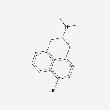 CN(C)C1Cc2cccc3c(Br)ccc(c23)C1